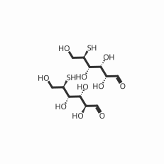 O=C[C@@H](O)[C@@H](O)[C@H](O)[C@H](S)CO.O=C[C@H](O)[C@@H](O)[C@H](O)[C@H](S)CO